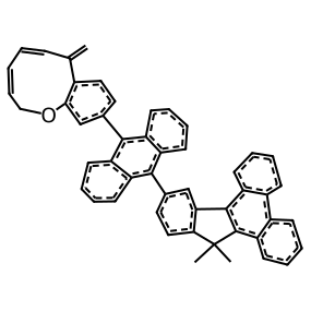 C=C1/C=C\C=C/COc2cc(-c3c4ccccc4c(-c4ccc5c(c4)-c4c(c6ccccc6c6ccccc46)C5(C)C)c4ccccc34)ccc21